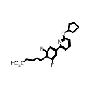 O=C(O)CCCCc1c(F)cc(-c2cccc(OC3CCCC3)n2)cc1F